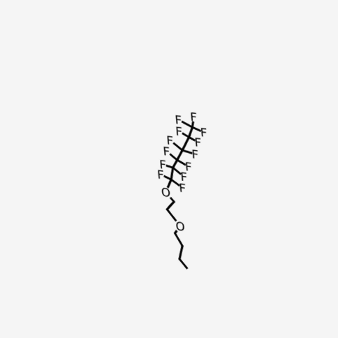 CCCCOCCOC(F)(F)C(F)(F)C(F)(F)C(F)(F)C(F)(F)C(F)(F)F